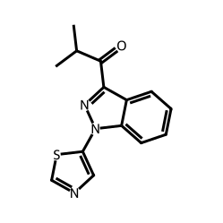 CC(C)C(=O)c1nn(-c2cncs2)c2ccccc12